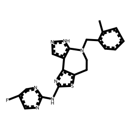 Cc1ccccc1CN1CCc2sc(Nc3ncc(F)cn3)nc2-c2cn[nH]c21